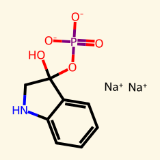 O=P([O-])([O-])OC1(O)CNc2ccccc21.[Na+].[Na+]